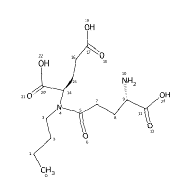 CCCCN(C(=O)CC[C@H](N)C(=O)O)[C@H](CCC(=O)O)C(=O)O